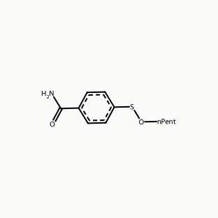 CCCCCOSc1ccc(C(N)=O)cc1